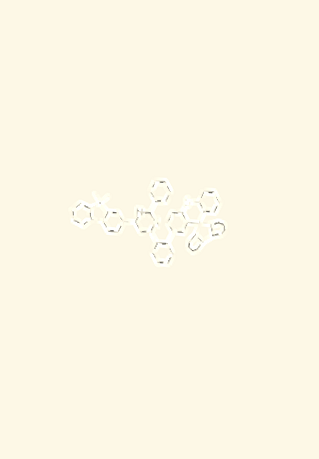 CC1(C)c2ccccc2-c2ccc(-c3cc(-c4ccccc4-c4ccc5c(c4)C4(c6ccccc6S5)c5ccccc5-c5ccccc54)nc(-c4ccccc4)n3)cc21